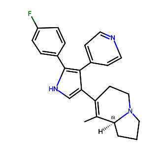 CC1=C(c2c[nH]c(-c3ccc(F)cc3)c2-c2ccncc2)CCN2CCC[C@@H]12